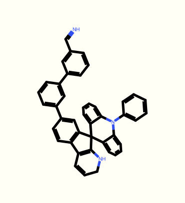 N=Cc1cccc(-c2cccc(-c3ccc4c(c3)C3(C5=C4C=CCN5)c4ccccc4N(c4ccccc4)c4ccccc43)c2)c1